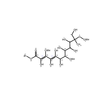 COOC(C)(CO)C(O)C(O)C(O)C(OC)C(O)/C(O)=C(O)/C(OC)=C(\O)C(=O)OC(C)C